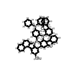 CC(C)(C)c1cc2c3c(c1)c1c4ccccc4ccc1n3B1c3ccc(N(c4ccccc4)c4ccccc4)cc3N(c3cccc4c3oc3ccccc34)c3c1c-2cc1oc2ccccc2c31